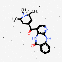 CC1C=C(C(=O)c2ccnc3c2NC(=O)c2ccccc2N3)CC(C)N1C